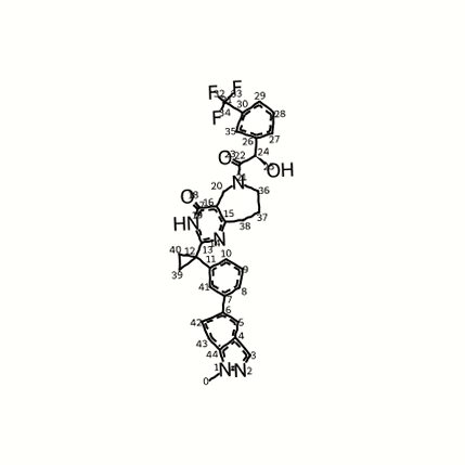 Cn1ncc2cc(-c3cccc(C4(c5nc6c(c(=O)[nH]5)CN(C(=O)[C@H](O)c5cccc(C(F)(F)F)c5)CCC6)CC4)c3)ccc21